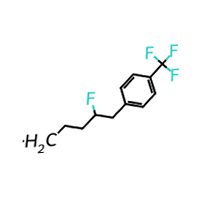 [CH2]CCC(F)Cc1ccc(C(F)(F)F)cc1